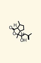 C=C(C)CC(O)C1(C)OC(=O)[C@H]2C(C)CC[C@H]21